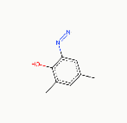 Cc1cc(C)c(O)c(N=[N])c1